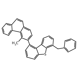 Cc1c(-c2cccc3sc4c(Cc5ccccc5)cccc4c23)ccc2ccc3ccccc3c12